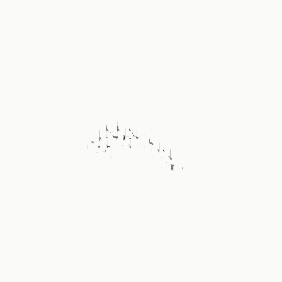 CN1CN(c2c(Cl)cccc2Cl)C(=O)c2cnc(Nc3ccc(N4CCN(CC(=O)O)CC4)cc3)nc21